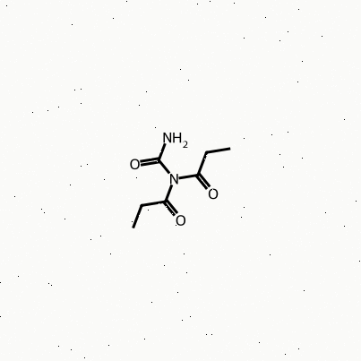 CCC(=O)N(C(N)=O)C(=O)CC